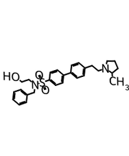 CC1CCCN1CCc1ccc(-c2ccc(S(=O)(=O)N(CCO)Cc3ccccc3)cc2)cc1